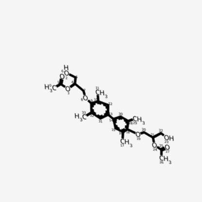 CC(=O)OC(CO)COc1c(C)cc(-c2cc(C)c(OCC(CO)OC(C)=O)c(C)c2)cc1C